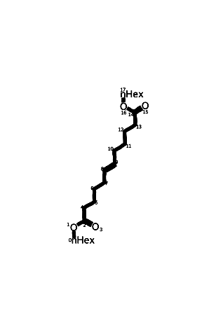 CCCCCCOC(=O)CCCCC=CCCCCC(=O)OCCCCCC